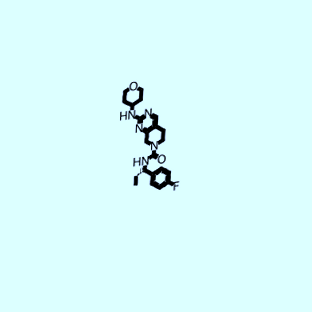 CC[C@H](NC(=O)N1CCc2cnc(NC3CCOCC3)nc2C1)c1ccc(F)cc1